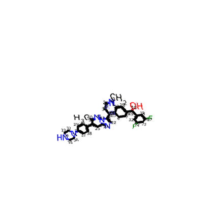 C=N/C=C\C(=C1\C=CC(C(O)c2cc(F)cc(F)c2)=CC1)c1cnc2cc(-c3ccc(N4CCNCC4)cc3)c(C)nn12